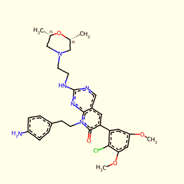 COc1cc(OC)c(Cl)c(-c2cc3cnc(NCCN4C[C@@H](C)O[C@@H](C)C4)nc3n(CCc3ccc(N)cc3)c2=O)c1